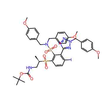 COc1ccc(CN(Cc2ccc(OC)cc2)S(=O)(=O)c2c(S(=O)(=O)[C@H](C)CNC(=O)OC(C)(C)C)ccc(I)c2-c2nnn(Cc3ccc(OC)cc3)n2)cc1